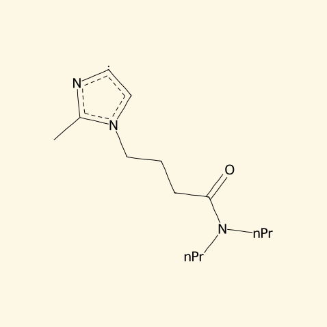 CCCN(CCC)C(=O)CCCn1c[c]nc1C